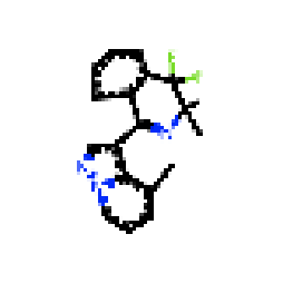 Cc1cccn2ncc(C3=NC(C)(C)C(F)(F)c4ccccc43)c12